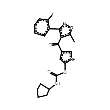 Cc1onc(-c2ccccc2F)c1C(=O)c1c[nH]c(OC(=O)NC2CCCC2)c1